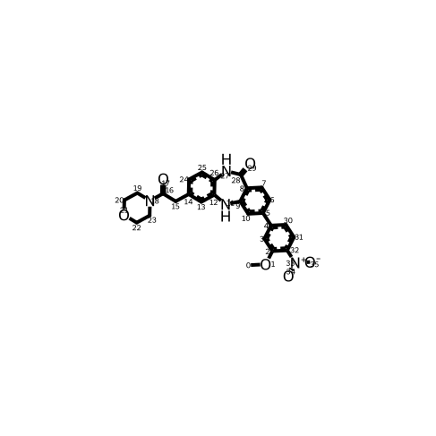 COc1cc(-c2ccc3c(c2)Nc2cc(CC(=O)N4CCOCC4)ccc2NC3=O)ccc1[N+](=O)[O-]